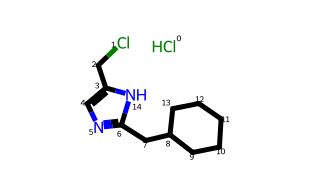 Cl.ClCc1cnc(CC2CCCCC2)[nH]1